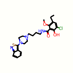 CCc1cc(Cl)c(O)c(C(=O)NCCCCN2CCN(c3snc4ccccc34)CC2)c1OC